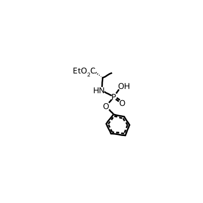 CCOC(=O)[C@H](C)NP(=O)(O)Oc1ccccc1